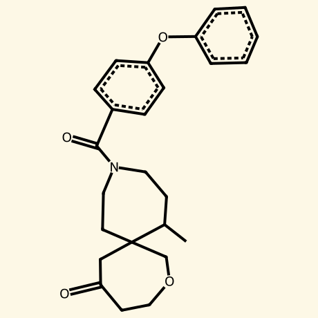 CC1CCN(C(=O)c2ccc(Oc3ccccc3)cc2)CCC12COCCC(=O)C2